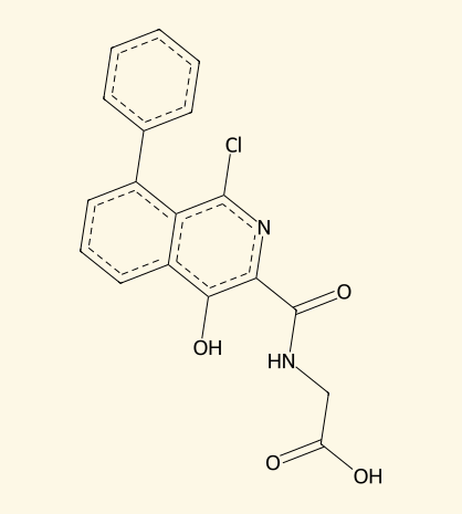 O=C(O)CNC(=O)c1nc(Cl)c2c(-c3ccccc3)cccc2c1O